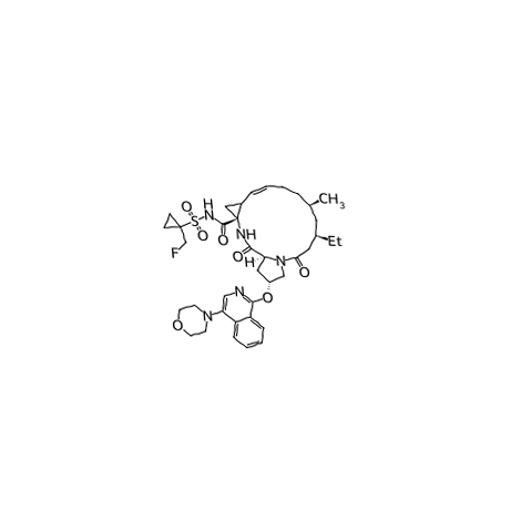 CC[C@H]1CC(=O)N2C[C@H](Oc3ncc(N4CCOCC4)c4ccccc34)C[C@H]2C(=O)N[C@]2(C(=O)NS(=O)(=O)C3(CF)CC3)CC2/C=C\CC[C@@H](C)C1